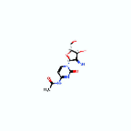 CC(=O)Nc1ccn([C@@H]2O[C@H](CO)[C@@H](O)C2=N)c(=O)n1